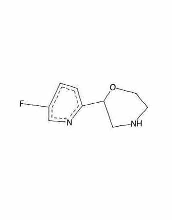 Fc1ccc(C2CNCCO2)nc1